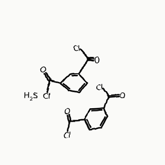 O=C(Cl)c1cccc(C(=O)Cl)c1.O=C(Cl)c1cccc(C(=O)Cl)c1.S